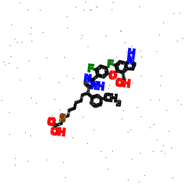 Cc1cccc(C(CCCCCCSCC(=O)O)c2cnc(-c3cc(Oc4c(F)cc5[nH]ccc5c4CO)ccc3F)[nH]2)c1